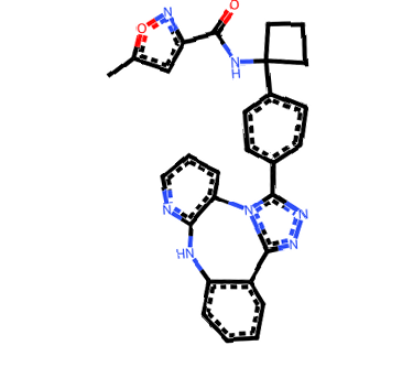 Cc1cc(C(=O)NC2(c3ccc(-c4nnc5n4-c4cccnc4Nc4ccccc4-5)cc3)CCC2)no1